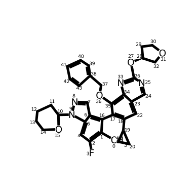 Cc1c(F)cc2c(cnn2C2CCCCO2)c1-c1c(C2CC2)cc2cnc(O[C@H]3CCOC3)nc2c1OCc1ccccc1